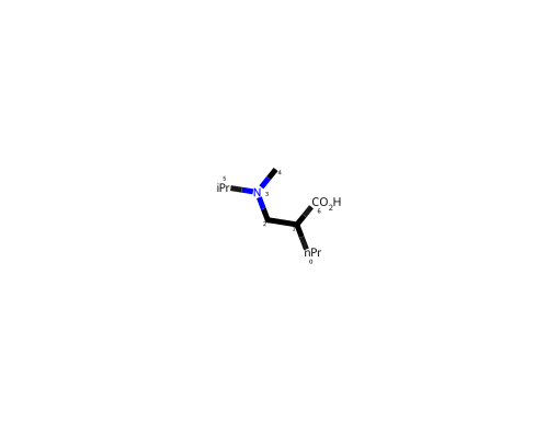 CCCC(CN(C)C(C)C)C(=O)O